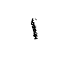 CCCC1CCC(c2ccc(-c3ccc(COc4ccc(C5CO5)c(F)c4F)cc3)c(F)c2F)CC1